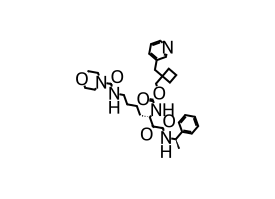 C[C@@H](NC(=O)C(=O)[C@H](CCCCNC(=O)N1CCOCC1)NC(=O)OCC1(Cc2cccnc2)CCC1)c1ccccc1